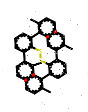 Cc1ccccc1-c1cccc(-c2ccccc2C)c1SSc1c(-c2ccccc2C)cccc1-c1ccccc1C